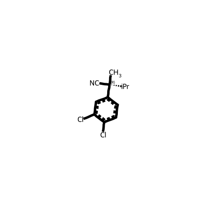 CC(C)[C@@](C)(C#N)c1ccc(Cl)c(Cl)c1